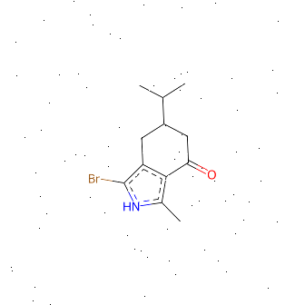 Cc1[nH]c(Br)c2c1C(=O)CC(C(C)C)C2